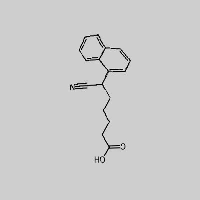 N#CC(CCCCC(=O)O)c1cccc2ccccc12